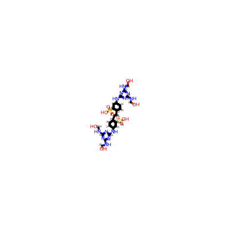 O=S(=O)(O)c1cc(Nc2nc(NCO)nc(NCO)n2)ccc1/C=C/c1ccc(Nc2nc(NCO)nc(NCO)n2)cc1S(=O)(=O)O